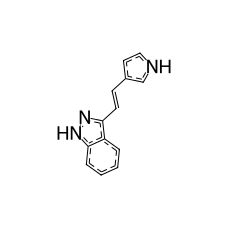 C(=Cc1n[nH]c2ccccc12)c1cc[nH]c1